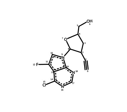 C#CC1CC(CO)OC1n1cc(F)c2c(Cl)ncnc21